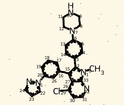 Cn1c(-c2ccc(N3CCNCC3)cc2)c(-c2cccc(-n3cccn3)c2)c2c(Cl)ccnc21